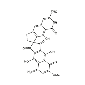 C=C1C=C(OC)C(=O)c2c(O)c3c(c(O)c21)C(=O)C1(CCc2cc4cc(C=O)[nH]c(=O)c4c(O)c21)C3=O